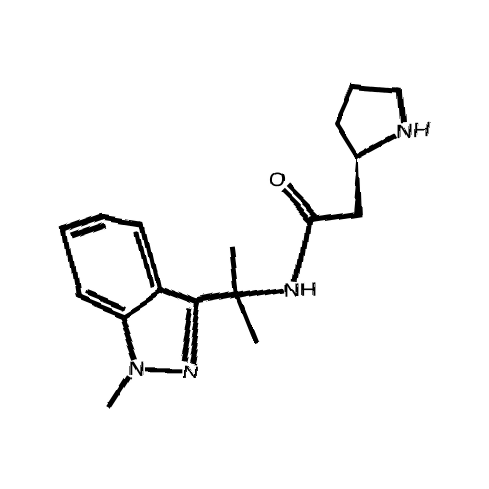 Cn1nc(C(C)(C)NC(=O)C[C@H]2CCCN2)c2ccccc21